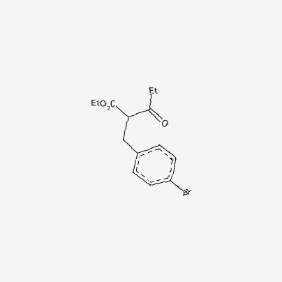 CCOC(=O)C(Cc1ccc(Br)cc1)C(=O)CC